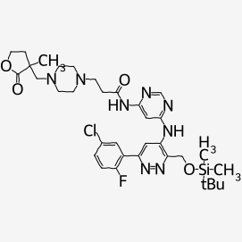 CC1(CN2CCN(CCC(=O)Nc3cc(Nc4cc(-c5cc(Cl)ccc5F)nnc4CO[Si](C)(C)C(C)(C)C)ncn3)CC2)CCOC1=O